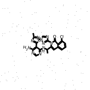 Cc1noc(-c2c(N)ncnc2NC(C)c2cc3cccc(Cl)c3c(=O)n2-c2nc[nH]n2)n1